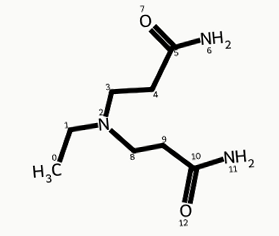 CCN(CCC(N)=O)CCC(N)=O